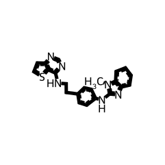 Cn1c(Nc2ccc(CCNc3ncnc4ccsc34)cc2)nc2ccccc21